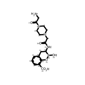 NCC(=O)N1CCN(CC(=O)NC2Cc3cccc(C(=O)O)c3OB2O)CC1